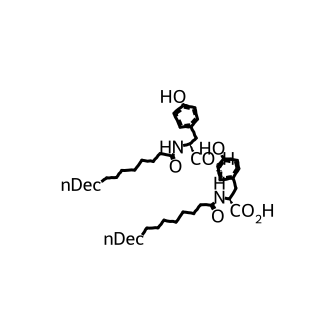 CCCCCCCCCCCCCCCCCC(=O)N[C@@H](Cc1ccc(O)cc1)C(=O)O.CCCCCCCCCCCCCCCCCC(=O)N[C@@H](Cc1ccc(O)cc1)C(=O)O